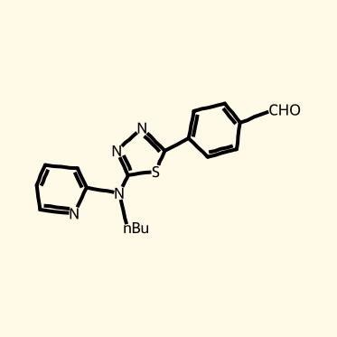 CCCCN(c1ccccn1)c1nnc(-c2ccc(C=O)cc2)s1